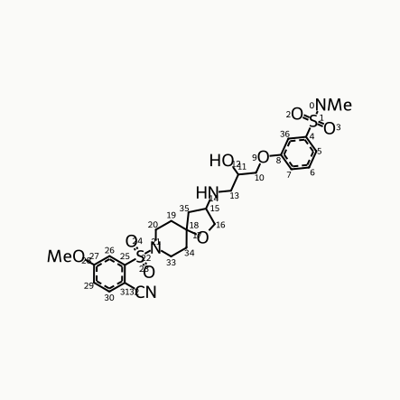 CNS(=O)(=O)c1cccc(OCC(O)CNC2COC3(CCN(S(=O)(=O)c4cc(OC)ccc4C#N)CC3)C2)c1